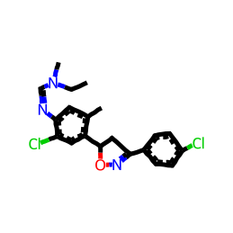 CCN(C)/C=N\c1cc(C)c(C2CC(c3ccc(Cl)cc3)=NO2)cc1Cl